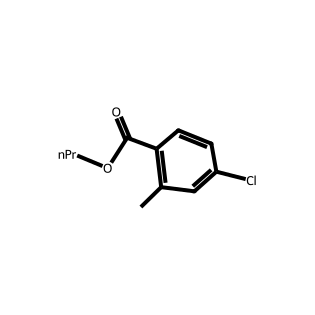 CCCOC(=O)c1ccc(Cl)cc1C